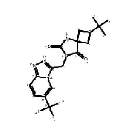 CC(C)(C)C1CC2(C1)NC(=O)N(Cc1nnc3ccc(C(F)(F)F)cn13)C2=O